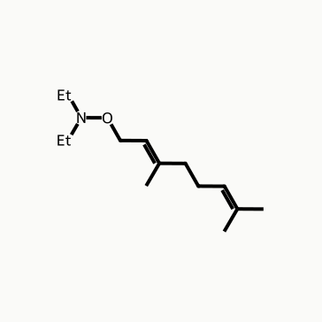 CCN(CC)OC/C=C(\C)CCC=C(C)C